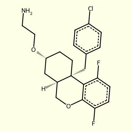 NCCO[C@@H]1CC[C@@]2(Cc3ccc(Cl)cc3)c3c(F)ccc(F)c3OC[C@H]2C1